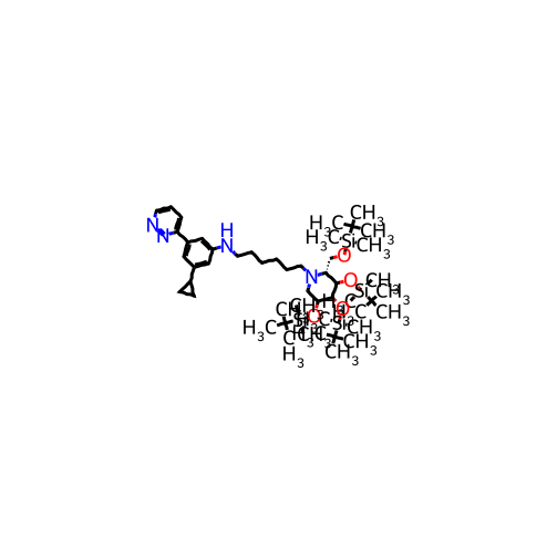 CC(C)(C)[Si](C)(C)OC[C@@H]1C(O[Si](C)(C)C(C)(C)C)C(O[Si](C)(C)C(C)(C)C)C(O[Si](C)(C)C(C)(C)C)CN1CCCCCCNc1cc(-c2cccnn2)cc(C2CC2)c1